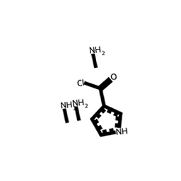 CN.CN.CN.O=C(Cl)c1cc[nH]c1